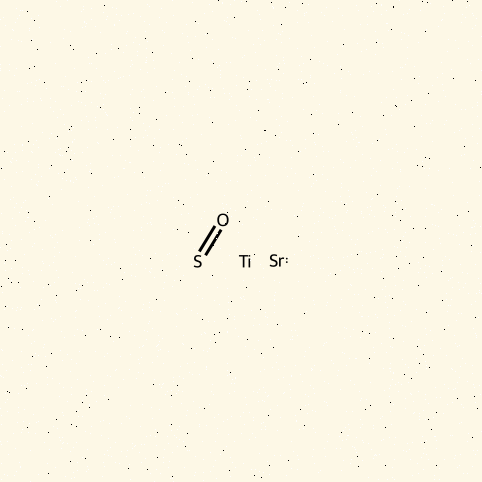 O=S.[Sr].[Ti]